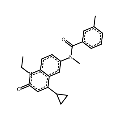 CCn1c(=O)cc(C2CC2)c2cc(N(C)C(=O)c3cccc(C)c3)ccc21